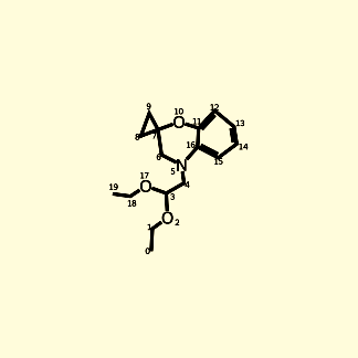 CCOC(CN1CC2(CC2)Oc2ccccc21)OCC